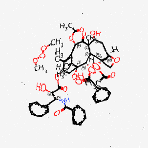 CC(=O)O[C@H]1C(=O)[C@@]2(C)[C@H]([C@H](OC(=O)c3ccccc3)[C@]3(O)C[C@H](OC(=O)[C@H](O)[C@@H](NC(=O)c4ccccc4)c4ccccc4)C(C)=C1C3(C)C)[C@]1(OC(C)=O)CO[C@@H]1C[C@@H]2O.COOOC